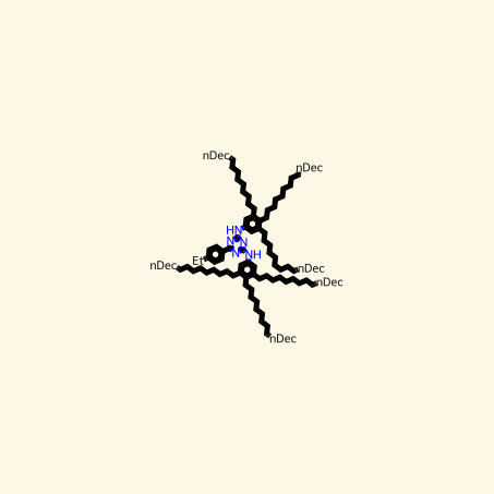 [CH2]Cc1ccc(-c2nc(Nc3cc(CCCCCCCCCCCCCCCCCCC)c(CCCCCCCCCCCCCCCCCCC)c(CCCCCCCCCCCCCCCCCCC)c3)nc(Nc3cc(CCCCCCCCCCCCCCCCCCC)c(CCCCCCCCCCCCCCCCCCC)c(CCCCCCCCCCCCCCCCCCC)c3)n2)cc1